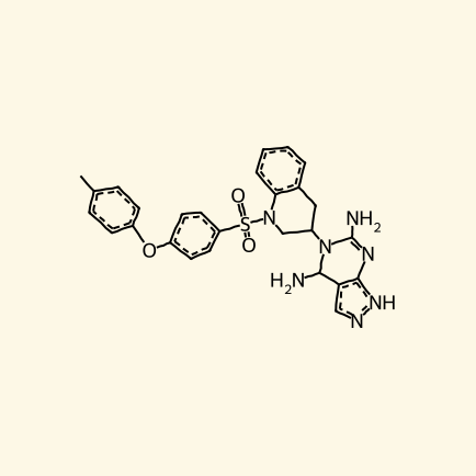 Cc1ccc(Oc2ccc(S(=O)(=O)N3CC(N4C(N)=Nc5[nH]ncc5C4N)Cc4ccccc43)cc2)cc1